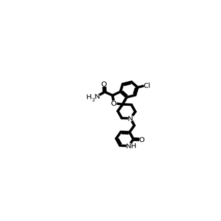 NC(=O)C1OC2(CCN(Cc3ccc[nH]c3=O)CC2)c2cc(Cl)ccc21